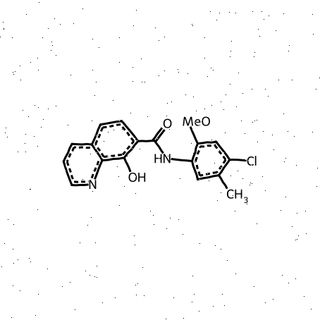 COc1cc(Cl)c(C)cc1NC(=O)c1ccc2cccnc2c1O